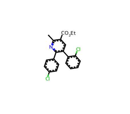 CCOC(=O)c1cc(-c2ccccc2Cl)c(-c2ccc(Cl)cc2)nc1C